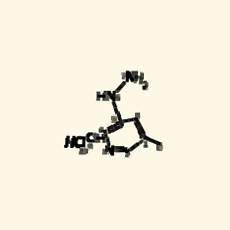 Cc1cncc(NN)c1.Cl.Cl